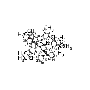 CCc1ccc2c(c1)B1c3cc4c(cc3N(c3ccc(C(C)(C)C)cc3-c3ccccc3)c3cc(N(c5ccccc5)c5ccccc5)cc(c31)N2c1ccc(C(C)(C)C)cc1C)CC(C)(C)C4